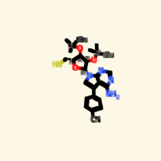 CC(C)(C)[Si](C)(C)O[C@@H]1[C@H](O[Si](C)(C)C(C)(C)C)[C@@H](CS)O[C@H]1n1cc(-c2ccc(C#N)cc2)c2c(N)ncnc21